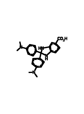 CN(C)c1ccc(C2(c3ccc(N(C)C)cc3)Nc3ccc(C(=O)O)cc3N2)cc1